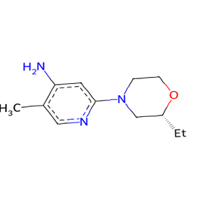 CC[C@@H]1CN(c2cc(N)c(C)cn2)CCO1